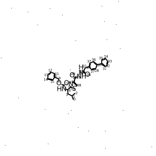 CC(C)CC(NC(=O)OCc1ccccc1)c1nc(C(=O)NNC(=O)Cc2ccc(-c3ccccc3)cc2)cs1